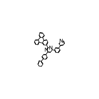 C1=CC(c2ccc(-c3cc(-c4cccc(-c5cccnc5)c4)nc(-c4ccc5c6ccccc6c6ccccc6c5c4)n3)cc2)=CCC1